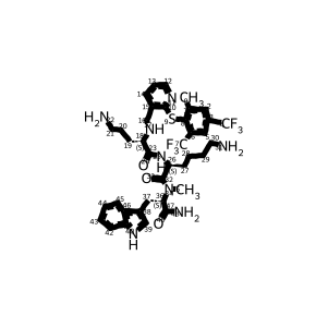 Cc1cc(C(F)(F)F)cc(C(F)(F)F)c1Sc1ncccc1CN[C@@H](CCCN)C(=O)N[C@@H](CCCCN)C(=O)N(C)[C@@H](Cc1c[nH]c2ccccc12)C(N)=O